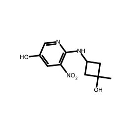 CC1(O)CC(Nc2ncc(O)cc2[N+](=O)[O-])C1